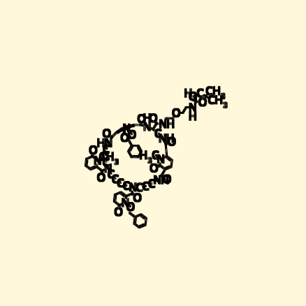 Cn1c(C(=O)N2CCCCN(C(=O)c3cccc(=O)n3OCc3ccccc3)CCCNC(=O)c3ccc(n(C)c3=O)C(=O)NCC(C(=O)NCCOCCNC(=O)OC(C)(C)C)NC(=O)c3ccc(c(=O)n3OCc3ccccc3)C(=O)NCCC2)cccc1=O